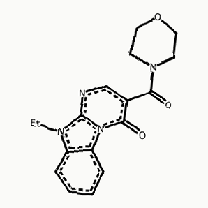 CCn1c2ccccc2n2c(=O)c(C(=O)N3CCOCC3)cnc12